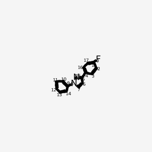 Fc1ccc(-c2ccn(-c3ccccc3)n2)cc1